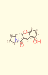 O=C(C1=Cc2c(O)cccc2OC1)N1CCCC1